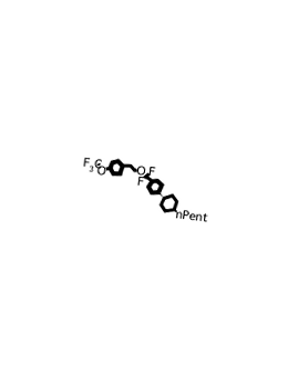 CCCCC[C@H]1CC[C@H](c2ccc(C(F)(F)OCCc3ccc(OC(F)(F)F)cc3)cc2)CC1